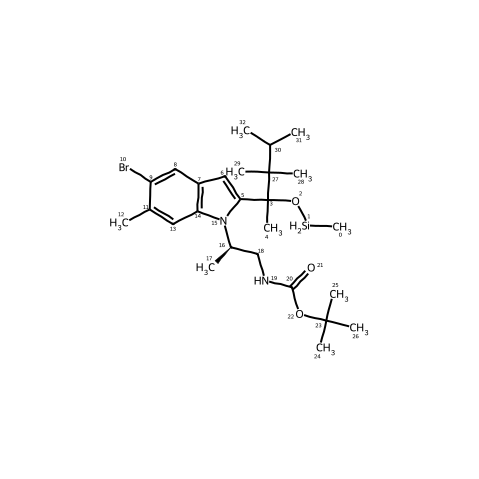 C[SiH2]OC(C)(c1cc2cc(Br)c(C)cc2n1[C@H](C)CNC(=O)OC(C)(C)C)C(C)(C)C(C)C